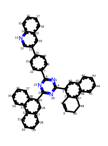 C1=Cc2c(-c3nc(-c4ccc(-c5cnc6ccccc6c5)cc4)nc(-c4cc5ccccc5c5ccccc45)n3)cc3ccccc3c2CC1